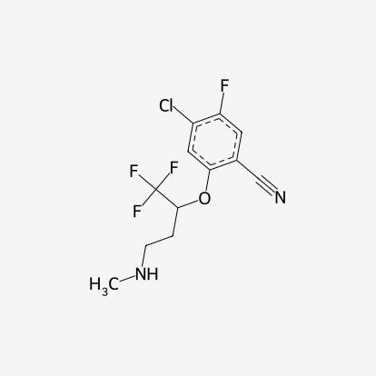 CNCCC(Oc1cc(Cl)c(F)cc1C#N)C(F)(F)F